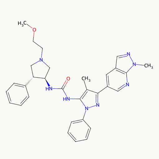 COCCN1C[C@@H](NC(=O)Nc2c(C)c(-c3cnc4c(cnn4C)c3)nn2-c2ccccc2)[C@H](c2ccccc2)C1